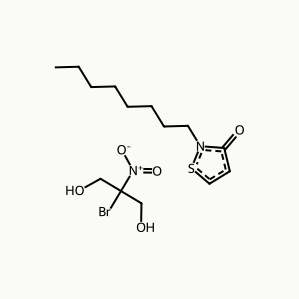 CCCCCCCCn1sccc1=O.O=[N+]([O-])C(Br)(CO)CO